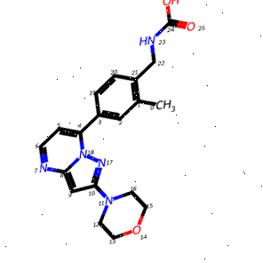 Cc1cc(-c2ccnc3cc(N4CCOCC4)nn23)ccc1CNC(=O)O